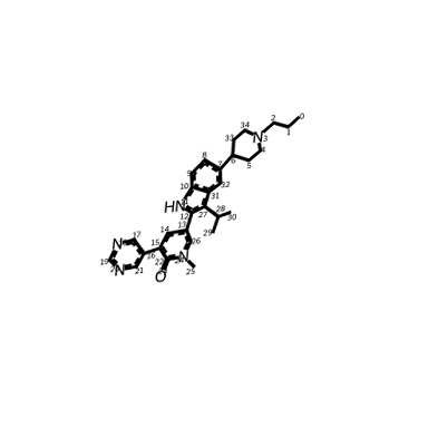 CCCN1CCC(c2ccc3[nH]c(-c4cc(-c5cncnc5)c(=O)n(C)c4)c(C(C)C)c3c2)CC1